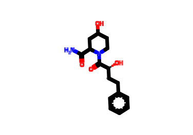 NC(=O)C1CC(O)CCN1C(=O)[C@H](O)[CH]Cc1ccccc1